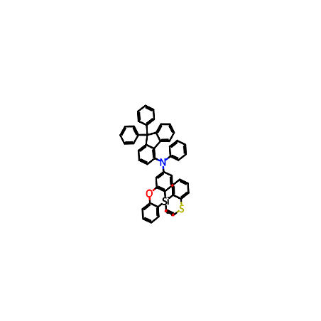 c1ccc(N(c2ccc3c(c2)Oc2ccccc2[Si]32c3ccccc3Sc3ccccc32)c2cccc3c2-c2ccccc2C3(c2ccccc2)c2ccccc2)cc1